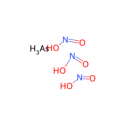 O=NO.O=NO.O=NO.[AsH3]